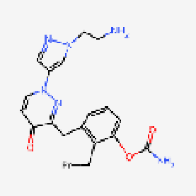 CC(C)Cc1c(Cc2nn(-c3cnn(CCN)c3)ccc2=O)cccc1OC(N)=O